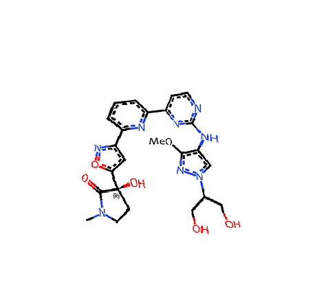 COc1nn(C(CO)CO)cc1Nc1nccc(-c2cccc(-c3cc([C@]4(O)CCN(C)C4=O)on3)n2)n1